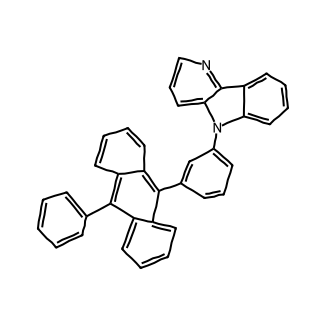 c1ccc(-c2c3ccccc3c(-c3cccc(-n4c5ccccc5c5ncccc54)c3)c3ccccc23)cc1